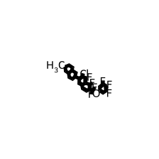 CC1CCC2CC(c3cc4ccc(C(F)(F)Oc5cc(F)c(F)c(F)c5)c(F)c4c(F)c3Cl)CCC2C1